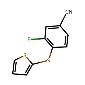 N#Cc1ccc(Sc2cccs2)c(F)c1